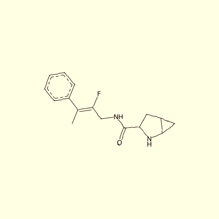 C/C(=C(/F)CNC(=O)C1CC2CC2N1)c1ccccc1